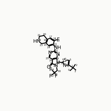 CC(C)(C)c1csc(-n2c3nc(Nc4cc5c(cc4F)CCNC5)ncc3c(=O)n2CC(F)(F)F)n1